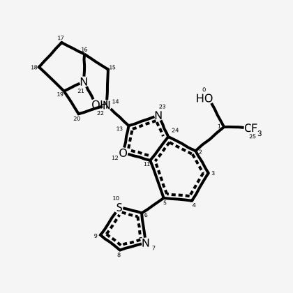 OC(c1ccc(-c2nccs2)c2oc(N3CC4CCC(C3)N4O)nc12)C(F)(F)F